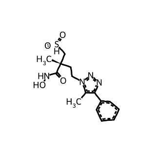 Cc1c(-c2ccccc2)nnn1CC[C@@](C)(C[SH](=O)=O)C(=O)NO